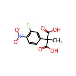 CC(C(=O)O)(C(=O)O)c1ccc([N+](=O)[O-])c(F)c1